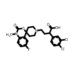 CN1C(=O)OC2(CCN(CCC(C(=O)O)c3ccc(Cl)c(Cl)c3)CC2)c2cc(F)ccc21